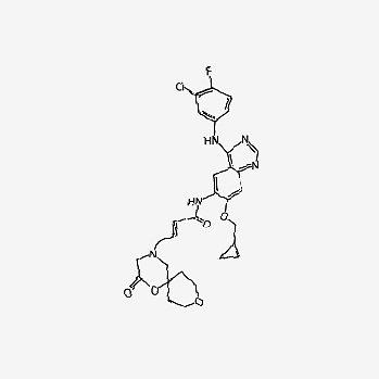 O=C(/C=C/CN1CC(=O)OC2(CCOCC2)C1)Nc1cc2c(Nc3ccc(F)c(Cl)c3)ncnc2cc1OCC1CC1